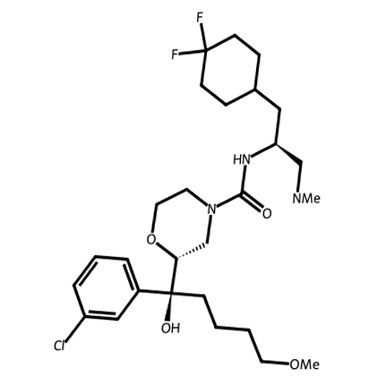 CNC[C@H](CC1CCC(F)(F)CC1)NC(=O)N1CCO[C@@H]([C@](O)(CCCCOC)c2cccc(Cl)c2)C1